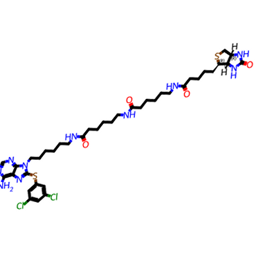 Nc1ncnc2c1nc(Sc1cc(Cl)cc(Cl)c1)n2CCCCCCNC(=O)CCCCCNC(=O)CCCCCNC(=O)CCCC[C@H]1SC[C@@H]2NC(=O)N[C@@H]21